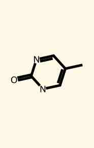 CC1=C[N]C(=O)N=C1